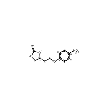 O=C1OC[C@H](CCOc2ccc([N+](=O)[O-])cc2)O1